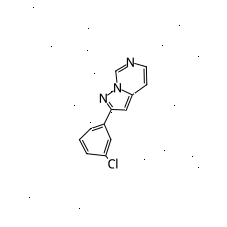 Clc1cccc(-c2cc3ccncn3n2)c1